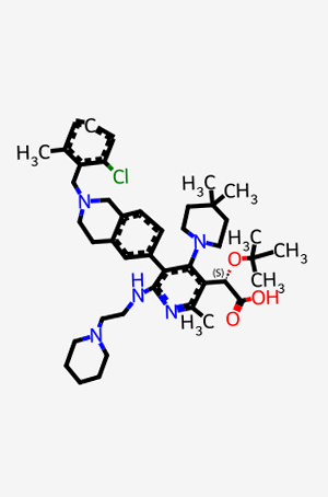 Cc1cccc(Cl)c1CN1CCc2cc(-c3c(NCCN4CCCCC4)nc(C)c([C@H](OC(C)(C)C)C(=O)O)c3N3CCC(C)(C)CC3)ccc2C1